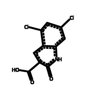 O=C(O)c1cc2c(Cl)cc(Cl)cc2[nH]c1=O